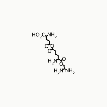 NC(N)COC(=O)C(N)CCCC(=O)OC(=O)CC[C@H](N)C(=O)O